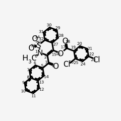 CN1C(C(=O)c2ccc3ccccc3c2)=C(OC(=O)c2ccc(Cl)cc2Cl)c2ccccc2S1(=O)=O